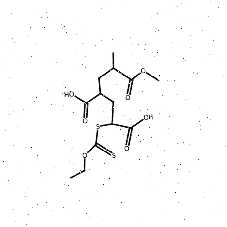 CCOC(=S)SC(CC(CC(C)C(=O)OC)C(=O)O)C(=O)O